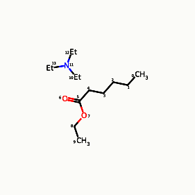 CCCCCC(=O)OCC.CCN(CC)CC